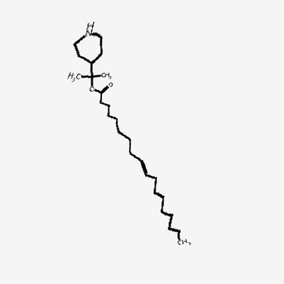 CCCCCCCC/C=C/CCCCCCCC(=O)OC(C)(C)C1CCNCC1